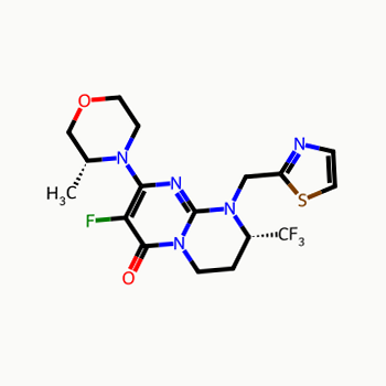 C[C@@H]1COCCN1c1nc2n(c(=O)c1F)CC[C@@H](C(F)(F)F)N2Cc1nccs1